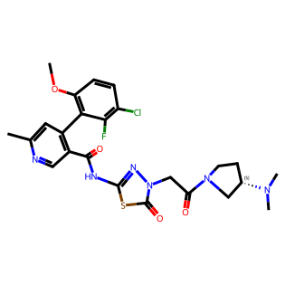 COc1ccc(Cl)c(F)c1-c1cc(C)ncc1C(=O)Nc1nn(CC(=O)N2CC[C@H](N(C)C)C2)c(=O)s1